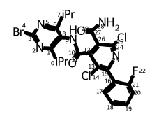 CC(C)c1nc(Br)nc(C(C)C)c1NC(=O)c1c(Cl)c(-c2ccccc2F)nc(Cl)c1C(N)=O